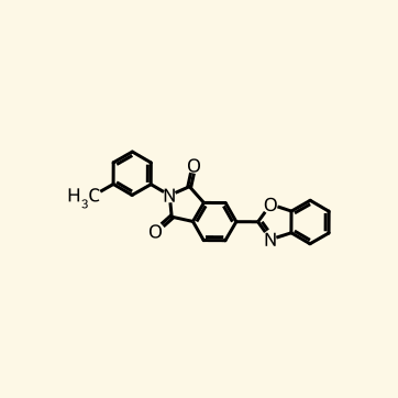 Cc1cccc(N2C(=O)c3ccc(-c4nc5ccccc5o4)cc3C2=O)c1